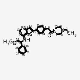 CCN1CCN(C(=O)Cc2ccc(-c3cc4ncnc(NC(COC)c5ccccc5)c4s3)cc2)CC1